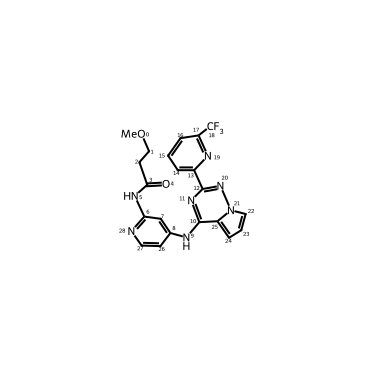 COCCC(=O)Nc1cc(Nc2nc(-c3cccc(C(F)(F)F)n3)nn3cccc23)ccn1